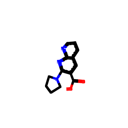 O=C(O)c1cc2cccnc2nc1N1CCCC1